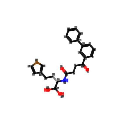 O=C(CCC(=O)c1cccc(-c2ccccc2)c1)N[C@@H](CCc1ccsc1)B(O)O